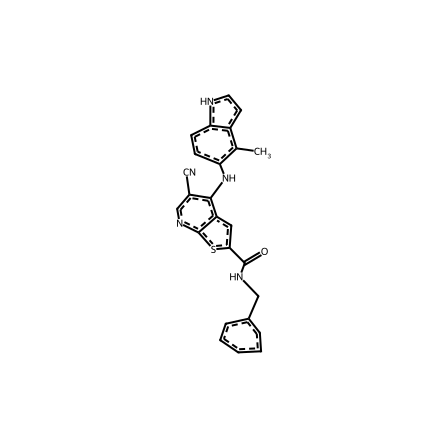 Cc1c(Nc2c(C#N)cnc3sc(C(=O)NCc4ccccc4)cc23)ccc2[nH]ccc12